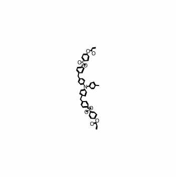 C=CC(=O)Oc1ccc(S(=O)(=O)c2ccc(Cc3ccc(N(c4ccc(C)cc4)c4ccc(Cc5ccc(S(=O)(=O)c6ccc(OC(=O)C=C)cc6)cc5)cc4)cc3)cc2)cc1